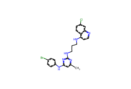 Cc1cc(Nc2ccc(Br)cc2)nc(NCCCNc2ccnc3cc(Cl)ccc23)n1